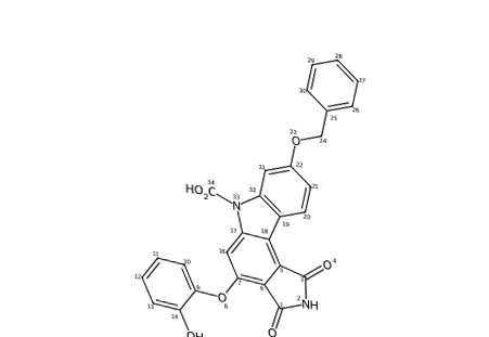 O=C1NC(=O)c2c1c(Oc1ccccc1O)cc1c2c2ccc(OCc3ccccc3)cc2n1C(=O)O